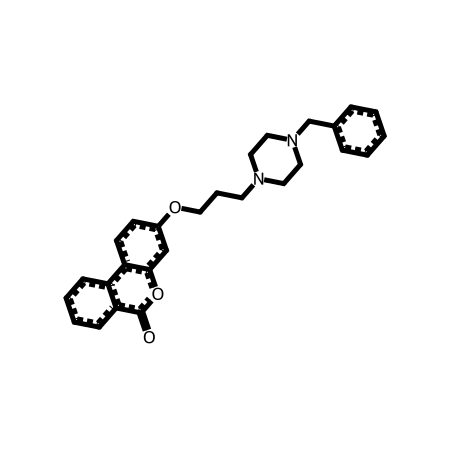 O=c1oc2cc(OCCCN3CCN(Cc4ccccc4)CC3)ccc2c2ccccc12